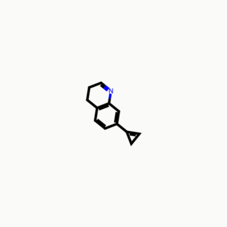 C1=Nc2cc(C3=CC3)ccc2CC1